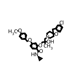 COc1ccc(COc2ccc(C(=O)NC3CC3)c(OCC(C)(O)CN3CCC4(CC3)Cc3cc(Cl)ccc3O4)c2)cc1